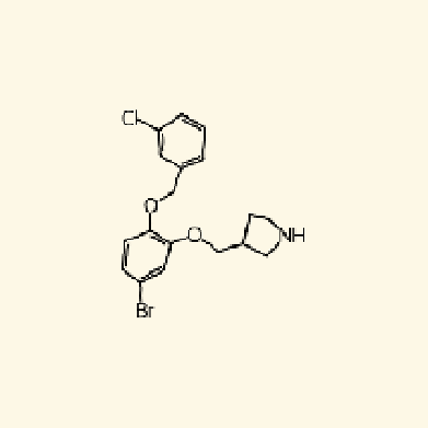 Clc1cccc(COc2ccc(Br)cc2OCC2CCNC2)c1